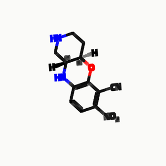 N#Cc1c([N+](=O)[O-])ccc2c1O[C@@H]1CCNC[C@H]1N2